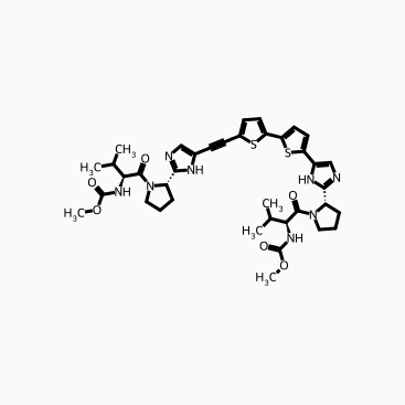 COC(=O)N[C@H](C(=O)N1CCC[C@H]1c1ncc(C#Cc2ccc(-c3ccc(-c4cnc([C@@H]5CCCN5C(=O)[C@@H](NC(=O)OC)C(C)C)[nH]4)s3)s2)[nH]1)C(C)C